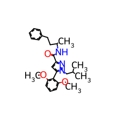 COc1cccc(OC)c1-c1cc(C(=O)N[C@H](C)CCc2ccccc2)nn1CC(C)C